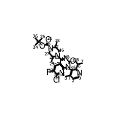 Cc1ccnc(C(C)C)c1-n1c(=O)nc(N2CC(C)N(C(=O)OC(C)(C)C)CC2C)c2cc(F)c(Cl)nc21